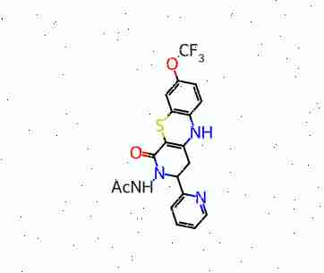 CC(=O)NN1C(=O)C2=C(CC1c1ccccn1)Nc1ccc(OC(F)(F)F)cc1S2